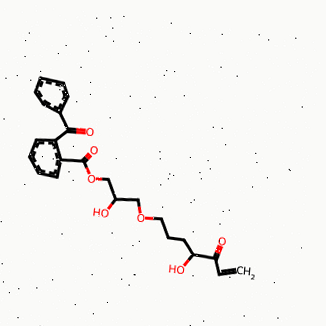 C=CC(=O)C(O)CCCOCC(O)COC(=O)c1ccccc1C(=O)c1ccccc1